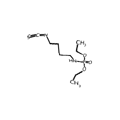 CCOP(=O)(NCCCCN=C=S)OCC